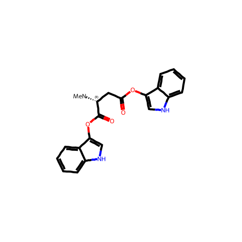 CN[C@H](CC(=O)Oc1c[nH]c2ccccc12)C(=O)Oc1c[nH]c2ccccc12